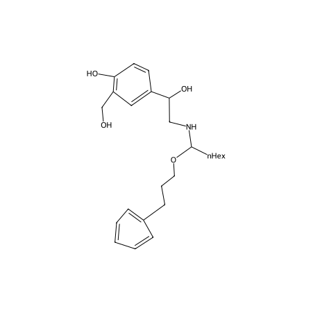 CCCCCCC(NCC(O)c1ccc(O)c(CO)c1)OCCCc1ccccc1